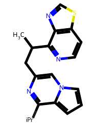 CC(C)c1nc(CC(C)c2nccc3scnc23)cn2cccc12